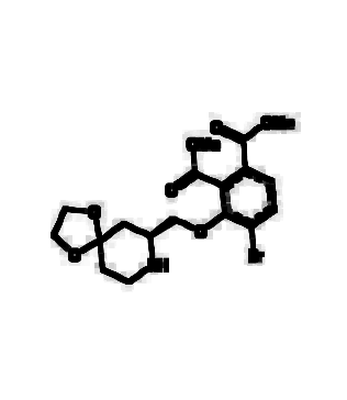 COC(=O)c1ccc(Br)c(OC[C@@H]2CC3(CCN2)OCCO3)c1C(=O)OC